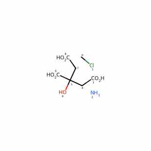 CCl.N.O=C(O)CC(O)(CC(=O)O)C(=O)O